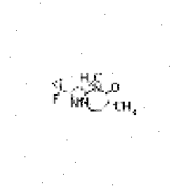 CC1CCn2nc(C3(F)CC3)cc2N(C)C1=O